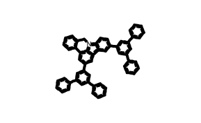 c1ccc(-c2cc(-c3ccccc3)cc(-c3ccc4c(c3)c3cc(-c5cc(-c6ccccc6)cc(-c6ccccc6)c5)cc5c3n4Cc3ccccc3-5)c2)cc1